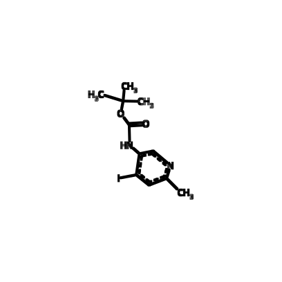 Cc1cc(I)c(NC(=O)OC(C)(C)C)cn1